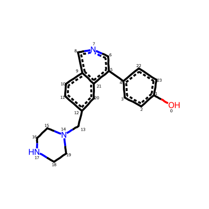 Oc1ccc(-c2cncc3ccc(CN4CCNCC4)cc23)cc1